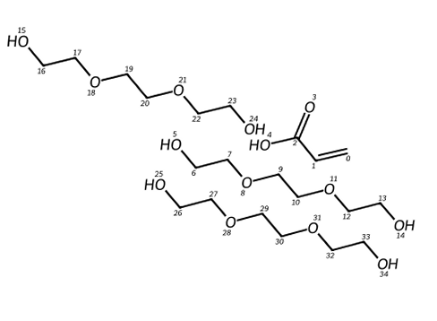 C=CC(=O)O.OCCOCCOCCO.OCCOCCOCCO.OCCOCCOCCO